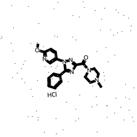 COc1ccc(-n2nc(C(=O)N3CCN(C)CC3)nc2-c2ccccc2)cn1.Cl